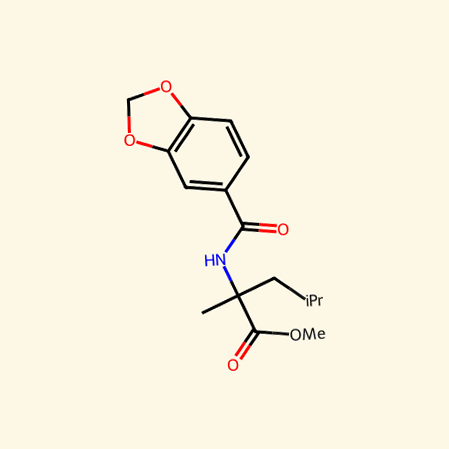 COC(=O)C(C)(CC(C)C)NC(=O)c1ccc2c(c1)OCO2